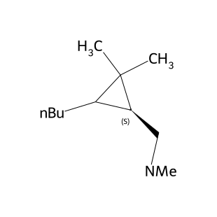 CCCCC1[C@H](CNC)C1(C)C